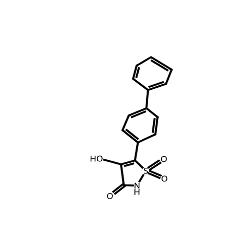 O=C1NS(=O)(=O)C(c2ccc(-c3ccccc3)cc2)=C1O